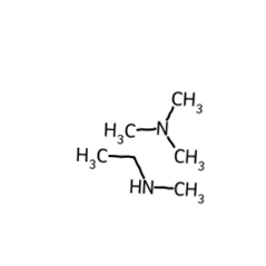 CCNC.CN(C)C